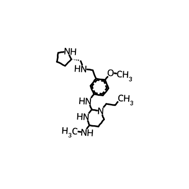 CCCN1CCC(NC)NC1Nc1ccc(OC)c(CNC[C@@H]2CCCN2)c1